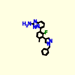 Cc1ccc(-c2cccc3nc(N)nn23)c(F)c1-c1cnn(Cc2ccccc2)c1